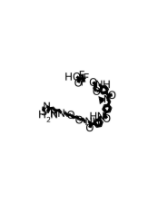 N[C@H](CNCCOCCOCCNC(=O)c1cccc(NC(=O)c2ccc(CN(C(=O)c3ccc4c(c3)OCC(=O)N4)C3CC3)cc2)c1)Cc1cscn1.O=C(O)C(F)(F)F